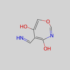 N=CC1=C(O)N=COC=C1O